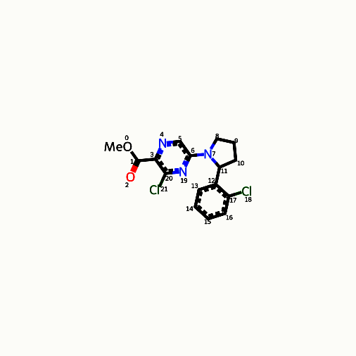 COC(=O)c1ncc(N2CCCC2c2ccccc2Cl)nc1Cl